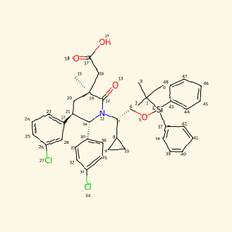 CC(C)(C)[Si](OC[C@H](C1CC1)N1C(=O)[C@](C)(CC(=O)O)C[C@H](c2cccc(Cl)c2)[C@H]1c1ccc(Cl)cc1)(c1ccccc1)c1ccccc1